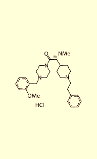 CN[C@@H](C(=O)N1CCN(Cc2ccccc2OC)CC1)C1CCN(CCc2ccccc2)CC1.Cl